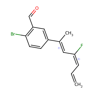 C=C/C=C(F)\C=C(/C)c1ccc(Br)c(C=O)c1